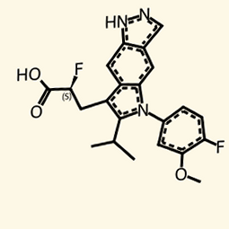 COc1cc(-n2c(C(C)C)c(C[C@H](F)C(=O)O)c3cc4[nH]ncc4cc32)ccc1F